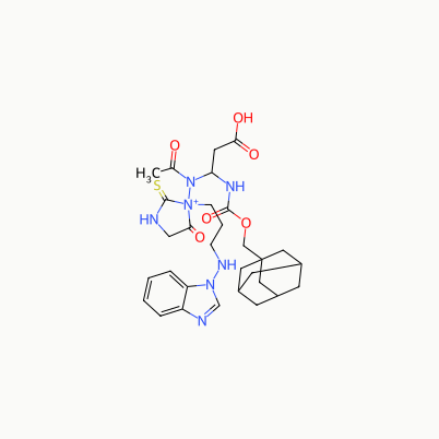 CC(=O)N(C(CC(=O)O)NC(=O)OCC12CC3CC(CC(C3)C1)C2)[N+]1(CCCNn2cnc3ccccc32)C(=O)CNC1=S